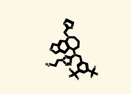 NCCn1nnc(N(Cc2cc(C(F)(F)F)cc(C(F)(F)F)c2)C2CCCN(Cc3nccs3)c3cc4c(cc32)COC4)n1